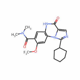 CN(C)C(=O)c1cc2[nH]c(=O)c3cnc(C4CCCCC4)n3c2cc1OC(F)(F)F